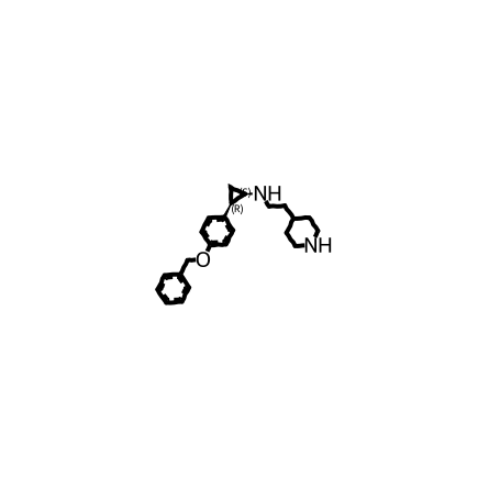 c1ccc(COc2ccc([C@H]3C[C@@H]3NCCC3CCNCC3)cc2)cc1